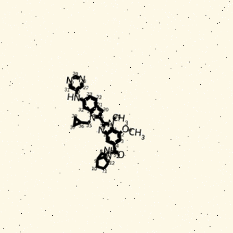 COc1cc(C(=O)N2CC3CCC2C3N)cc2nc(-c3cc4ccc(Nc5cncnc5)cc4n3CC3CC3)n(C)c12